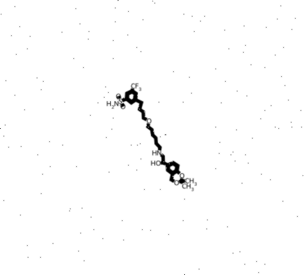 CC1(C)OCc2cc(C(O)CNCCCCCCOCCCCc3cc(C(F)(F)F)cc(S(N)(=O)=O)c3)ccc2O1